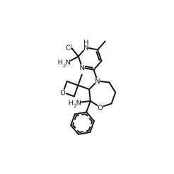 CC1=CC(N2CCCOC(N)(c3ccccc3)C2C2(C)COC2)=NC(N)(Cl)N1